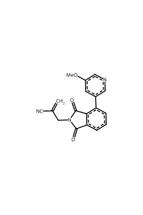 C=C(C#N)CN1C(=O)c2cccc(-c3cncc(OC)c3)c2C1=O